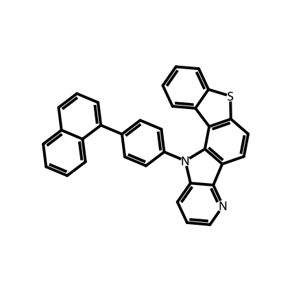 c1ccc2c(-c3ccc(-n4c5cccnc5c5ccc6sc7ccccc7c6c54)cc3)cccc2c1